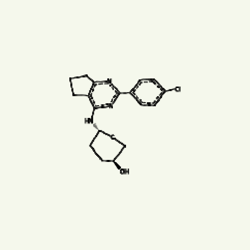 O[C@H]1CC[C@H](Nc2nc(-c3ccc(Cl)cc3)nc3c2CCC3)CC1